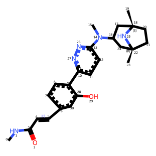 CNC(=O)/C=C/c1ccc(-c2ccc(N(C)C3C[C@]4(C)CC[C@](C)(C3)N4)nn2)c(O)c1